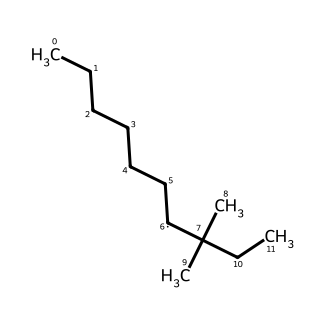 CCCCCC[CH]C(C)(C)CC